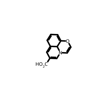 O=C(O)C1=CN2C=COC3=CC=CC(=C1)C32